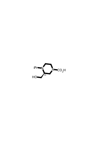 CC(C)N1CCN(C(=O)O)C[C@H]1CO